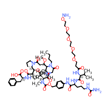 CCCCN(C(=O)CNC(=O)[C@H](C(C)C)N(C)C(=O)OCc1ccc(NC(=O)C(CCCNC(N)=O)NC(=O)[C@@H](NC(=O)CCOCCOCCOCCOCCON)C(C)C)cc1)C([C@@H](C)CC)[C@@H](CC(=O)N1CCC[C@H]1[C@H](OC)[C@@H](C)C(=O)N[C@@H](Cc1ccccc1)C(=O)O)OC